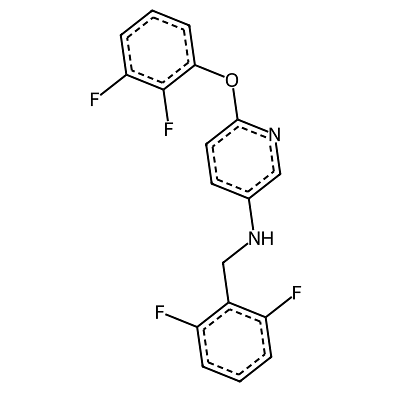 Fc1cccc(Oc2ccc(NCc3c(F)cccc3F)cn2)c1F